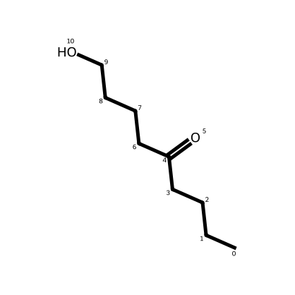 CCCCC(=O)CCCCO